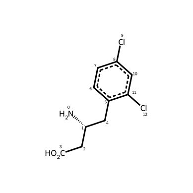 N[C@@H](CC(=O)O)Cc1ccc(Cl)cc1Cl